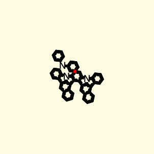 c1ccc(N(c2ccccc2)c2cccc3c4cc5ccccc5c5c6c7c8cc9ccccc9c9c%10ccccc%10n(c7ccc6n(c23)c45)c89)cc1